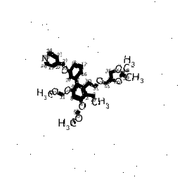 CCc1c(OCOC)cc(OCOC)c(-c2cccc(OCc3ccncc3)c2)c1CCOCC1COC(C)(C)O1